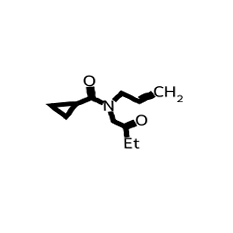 C=CCN(CC(=O)CC)C(=O)C1CC1